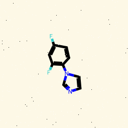 Fc1ccc(-n2ccnc2)c(F)c1